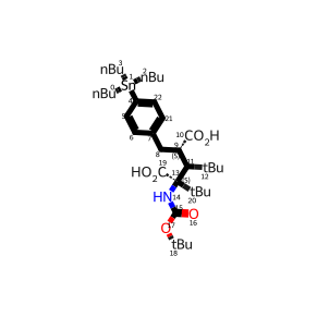 CCC[CH2][Sn]([CH2]CCC)([CH2]CCC)[c]1ccc(C[C@H](C(=O)O)C(C(C)(C)C)[C@@](NC(=O)OC(C)(C)C)(C(=O)O)C(C)(C)C)cc1